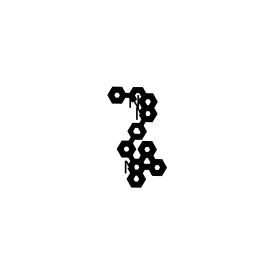 C1=C(c2cccc(-c3nc4ccccc4c4c5ccccc5c5ccccc5c34)c2)CCC(c2ccc3ccc4ccc(-c5ccccc5)nc4c3n2)=C1